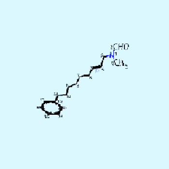 CN(C=O)C/C=C/CCCCCCc1ccccc1